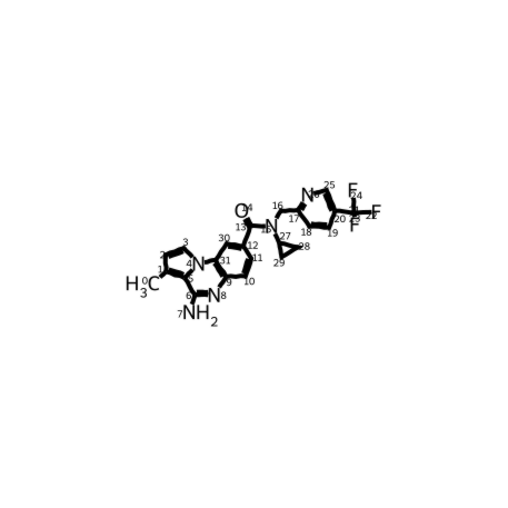 Cc1ccn2c1c(N)nc1ccc(C(=O)N(Cc3ccc(C(F)(F)F)cn3)C3CC3)cc12